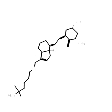 C=C1/C(=C\C=C2/CCC[C@]3(C)C(COCCCCC(C)(C)O)=CC[C@@H]23)C[C@@H](O)C[C@@H]1O